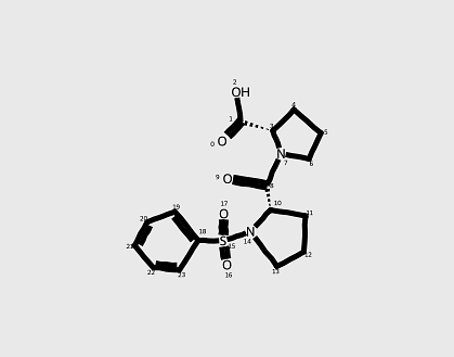 O=C(O)[C@@H]1CCCN1C(=O)[C@@H]1CCCN1S(=O)(=O)c1ccccc1